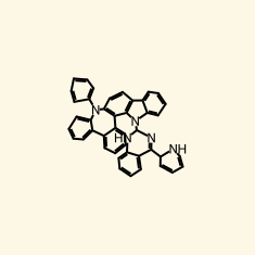 C1=CNC(C2=NC(n3c4ccccc4c4ccc5c(c43)-c3ccccc3-c3ccccc3N5c3ccccc3)Nc3ccccc32)C=C1